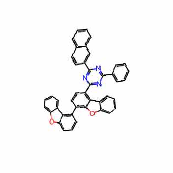 c1ccc(-c2nc(-c3ccc4ccccc4c3)nc(-c3ccc(-c4cccc5oc6ccccc6c45)c4oc5ccccc5c34)n2)cc1